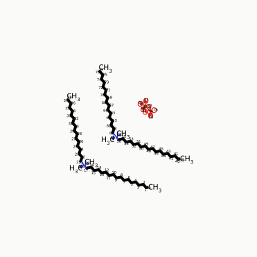 CCCCCCCCCCCCCCCCCC[N+](C)(C)CCCCCCCCCCCCCCCCCC.CCCCCCCCCCCCCCCCCC[N+](C)(C)CCCCCCCCCCCCCCCCCC.O=S(=O)([O-])OS(=O)(=O)[O-]